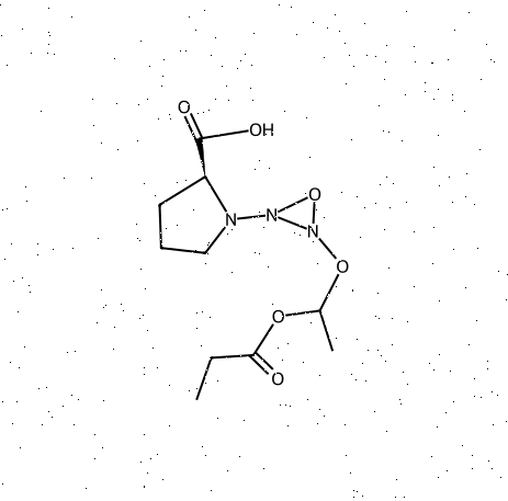 CCC(=O)OC(C)On1on1N1CCC[C@H]1C(=O)O